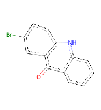 O=c1c2ccccc2[nH]c2ccc(Br)cc12